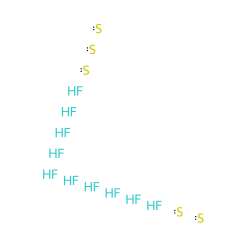 F.F.F.F.F.F.F.F.F.F.[S].[S].[S].[S].[S]